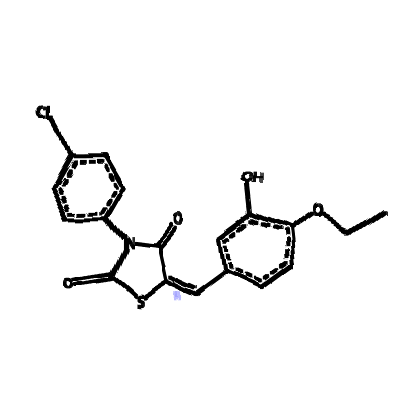 CCOc1ccc(/C=C2/SC(=O)N(c3ccc(Cl)cc3)C2=O)cc1O